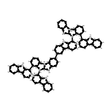 c1ccc2c(c1)nc1n(-c3nccc4c3oc3ccc(-c5ccc6nc7n(-c8nccc9c8oc8ccccc89)c8c(-c9nccc%10c9oc9ccccc9%10)cccc8n7c6c5)cc34)c3c(-c4cccc5c4oc4ccccc45)cccc3n21